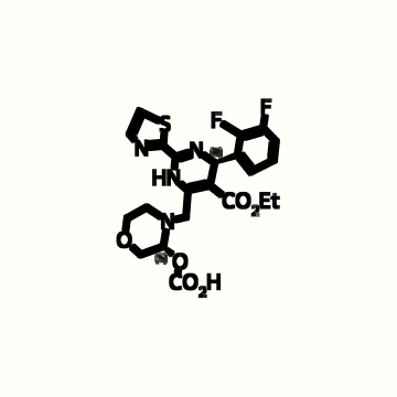 CCOC(=O)C1=C(CN2CCOC[C@@H]2OC(=O)O)NC(c2nccs2)=N[C@H]1c1cccc(F)c1F